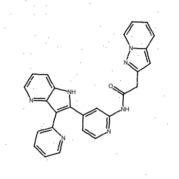 O=C(Cc1cc2ccccn2n1)Nc1cc(-c2[nH]c3cccnc3c2-c2ccccn2)ccn1